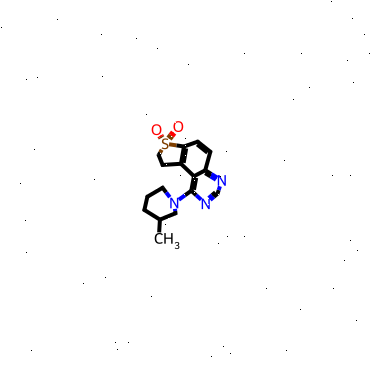 CC1CCCN(c2ncnc3ccc4c(c23)CCS4(=O)=O)C1